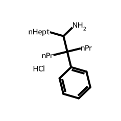 CCCCCCCC(N)C(CCC)(CCC)c1ccccc1.Cl